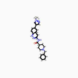 Cn1cc(-c2ccc3nnc(NC(=O)C4CCN(Cc5ccccc5)CC4)cc3c2)cn1